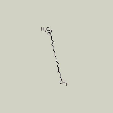 [CH2]OOCCCCCCCCCCCCCCCCCC